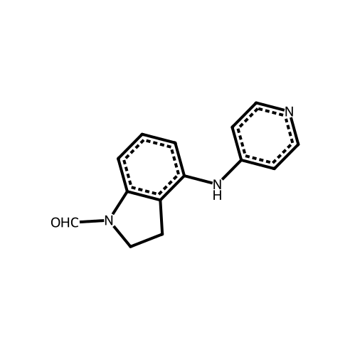 O=CN1CCc2c(Nc3ccncc3)cccc21